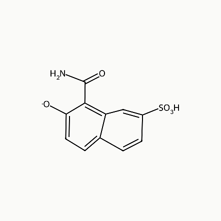 NC(=O)c1c([O])ccc2ccc(S(=O)(=O)O)cc12